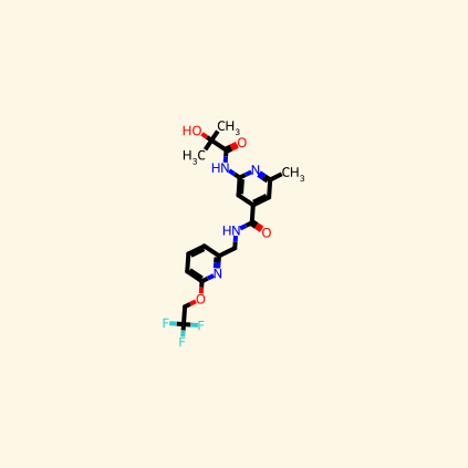 Cc1cc(C(=O)NCc2cccc(OCC(F)(F)F)n2)cc(NC(=O)C(C)(C)O)n1